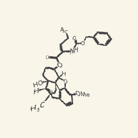 COc1ccc2c3c1O[C@H]1C(OC(=O)C(CCC(C)=O)NC(=O)OCc4ccccc4)=CC[C@@]4(O)[C@@H](C2)N(C)CC[C@]314